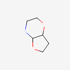 C1COC2CCOC2N1